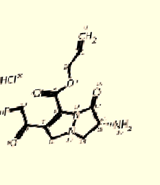 C=CCOC(=O)C1=C(C(=O)CF)CN2C[C@@H](N)C(=O)N12.Cl